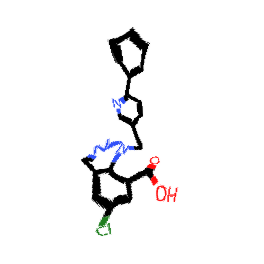 O=C(O)c1cc(Cl)cc2cnn(Cc3ccc(-c4ccccc4)nc3)c12